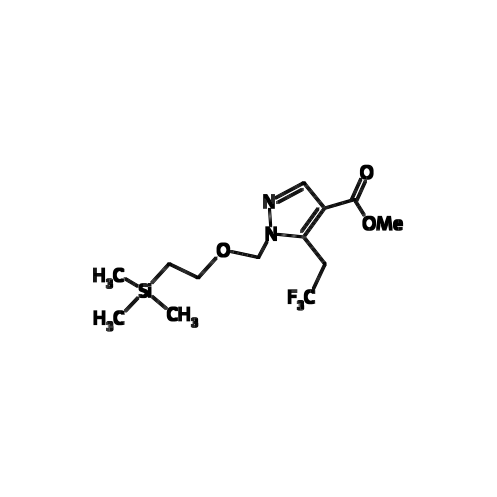 COC(=O)c1cnn(COCC[Si](C)(C)C)c1CC(F)(F)F